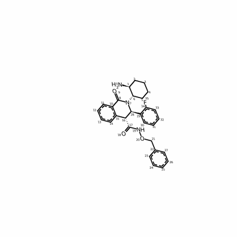 N[C@H]1CCCC[C@@H]1N1C(=O)c2ccccc2[C@@H](C(=O)NOCc2ccccc2)[C@@H]1c1ccccc1F